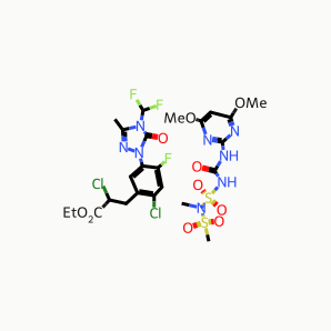 CCOC(=O)C(Cl)Cc1cc(-n2nc(C)n(C(F)F)c2=O)c(F)cc1Cl.COc1cc(OC)nc(NC(=O)NS(=O)(=O)N(C)S(C)(=O)=O)n1